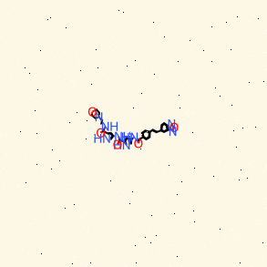 O=C(Nc1c[nH]c(C(=O)Nc2c[nH]c(C(=O)NCCN3CCOCC3)c2)c1)c1ccc(/C=C/c2ccc3nonc3c2)cc1